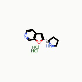 Cl.Cl.c1cc2cc([C@@H]3CCCN3)oc2cn1